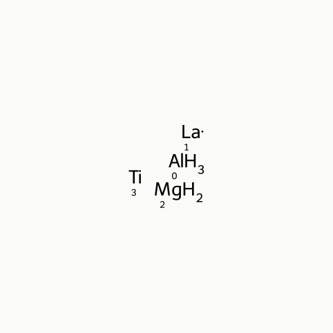 [AlH3].[La].[MgH2].[Ti]